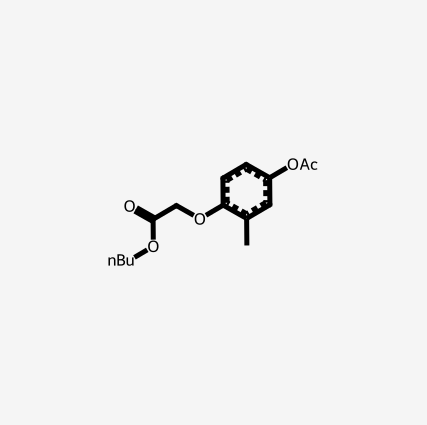 CCCCOC(=O)COc1ccc(OC(C)=O)cc1C